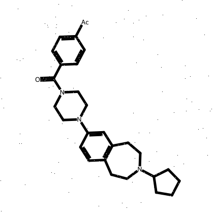 CC(=O)c1ccc(C(=O)N2CCN(c3ccc4c(c3)CCN(C3CCCC3)CC4)CC2)cc1